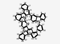 c1ccc(-n2c3ccccc3c3cc(-c4cc5ccccc5c5c6cccc7c8cc9c(nc8n(c45)c76)c4cc5ccccc5c5c6ccccc6n9c45)ccc32)cc1